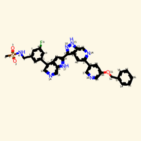 CS(=O)(=O)NCc1cc(F)cc(-c2cncc3[nH]c(-c4n[nH]c5cnc(-c6cncc(OCc7ccccc7)c6)cc45)cc23)c1